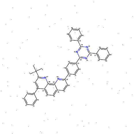 CC(C)(C)c1cc(-c2ccccc2)c2ccc3ccc(-c4ccc(-c5nc(-c6ccccc6)nc(-c6ccccc6)n5)cc4)nc3c2n1